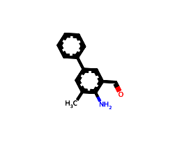 Cc1cc(-c2ccccc2)cc(C=O)c1N